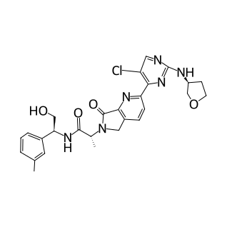 Cc1cccc([C@@H](CO)NC(=O)[C@@H](C)N2Cc3ccc(-c4nc(N[C@H]5CCOC5)ncc4Cl)nc3C2=O)c1